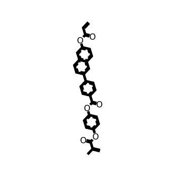 C=CC(=O)Oc1ccc2cc(-c3ccc(C(=O)Oc4ccc(OC(=O)C(=C)C)cc4)cc3)ccc2c1